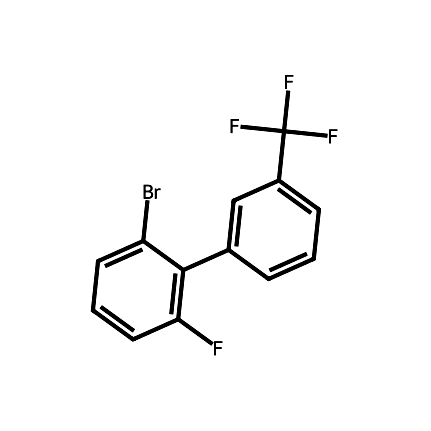 Fc1cccc(Br)c1-c1cccc(C(F)(F)F)c1